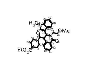 CCOC(=O)N1CCN(C(=O)C2c3ccccc3C(=O)N(CCOC)C2c2cn(C)c3ccccc23)CC1